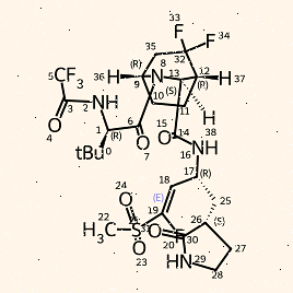 CC(C)(C)[C@@H](NC(=O)C(F)(F)F)C(=O)N1[C@@H]2CC[C@H]([C@H]1C(=O)N[C@@H](/C=C(\F)S(C)(=O)=O)C[C@@H]1CCNC1=O)C(F)(F)C2